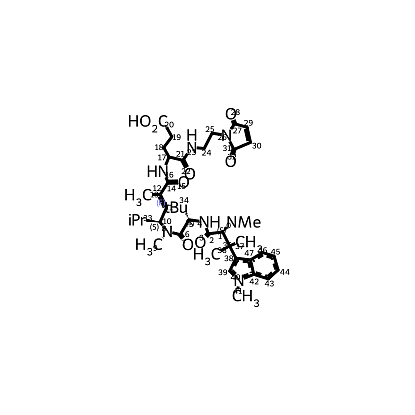 CN[C@H](C(=O)N[C@H](C(=O)N(C)[C@H](/C=C(\C)C(=O)NC(CCC(=O)O)C(=O)NCCN1C(=O)C=CC1=O)C(C)C)C(C)(C)C)C(C)(C)c1cn(C)c2ccccc12